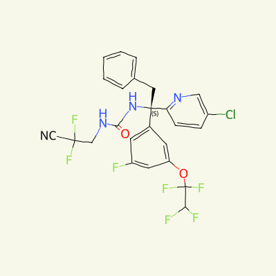 N#CC(F)(F)CNC(=O)N[C@@](Cc1ccccc1)(c1cc(F)cc(OC(F)(F)C(F)F)c1)c1ccc(Cl)cn1